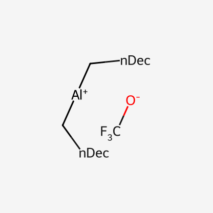 CCCCCCCCCC[CH2][Al+][CH2]CCCCCCCCCC.[O-]C(F)(F)F